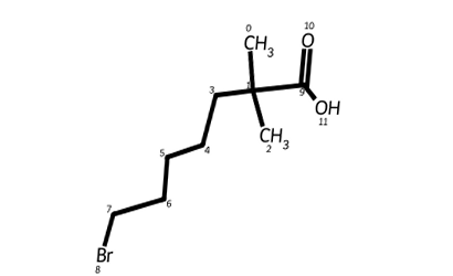 CC(C)(CCCCCBr)C(=O)O